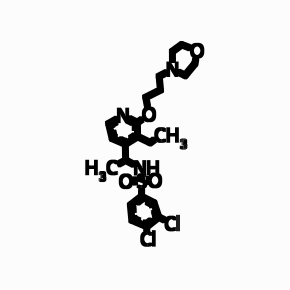 CCc1c(C(C)NS(=O)(=O)c2ccc(Cl)c(Cl)c2)ccnc1OCCCN1CCOCC1